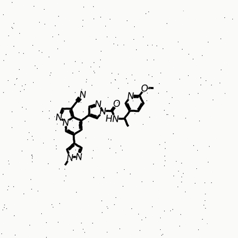 COc1ccc(C(C)NC(=O)n2cc(-c3cc(-c4cnn(C)c4)cn4ncc(C#N)c34)cn2)cn1